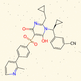 Cc1ncccc1-c1ccc(S(=O)(=O)c2c(O)n([C@H](c3cccc(C#N)c3)C3CC3)c(CC3CC3)nc2=O)cc1